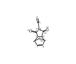 N#CN1C(=O)C2C3C=CC(CC3)C2C1=O